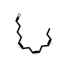 CC/C=C\C/C=C\C/C=C\CCCC=O